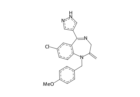 C=C1CN=C(c2cn[nH]c2)c2cc(Cl)ccc2N1Cc1ccc(OC)cc1